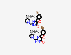 CC(=O)N[C@@H]1CCN(Cc2nc3c(oc4ccc(Br)cc43)c(=O)[nH]2)C1.CC(=O)N[C@@H]1CCN(Cc2nc3c(oc4ccc(Br)cc43)c(=O)[nH]2)C1